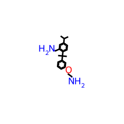 CC(C)c1ccc(C(C)(C)c2cccc(OCCN)c2)c(CN)c1